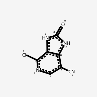 N#Cc1cnc(Cl)c2[nH]c(=O)[nH]c12